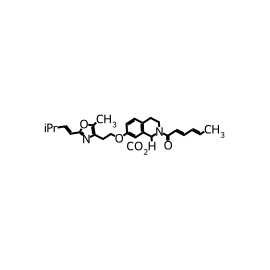 CC=CC=CC(=O)N1CCc2ccc(OCCc3nc(/C=C/C(C)C)oc3C)cc2C1C(=O)O